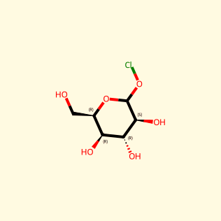 OC[C@H]1OC(OCl)[C@@H](O)[C@H](O)[C@H]1O